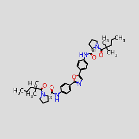 CCCC(C)(C)C(=O)N1CCC[C@H]1C(=O)Nc1ccc(-c2cnc(-c3ccc(NC(=O)[C@@H]4CCCN4C(=O)C(C)(C)CCC)cc3)o2)cc1